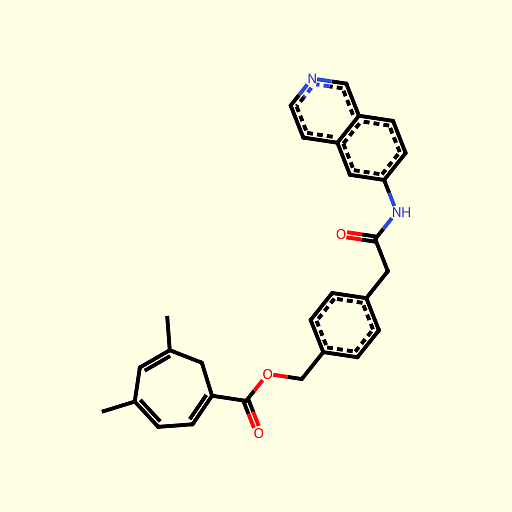 CC1=CC=C(C(=O)OCc2ccc(CC(=O)Nc3ccc4cnccc4c3)cc2)CC(C)=C1